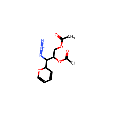 CC(=O)OCC(OC(C)=O)C(N=[N+]=[N-])C1C=CC=CO1